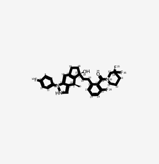 C[C@H]1C2=CNN(c3ccc(F)cc3)C2=CC2=C1[C@](O)(CCc1cccc(F)c1C(=O)N1CCCC(F)(F)C1)CC2